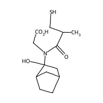 CC(CS)C(=O)N(CC(=O)O)C1(O)CC2CCC1C2